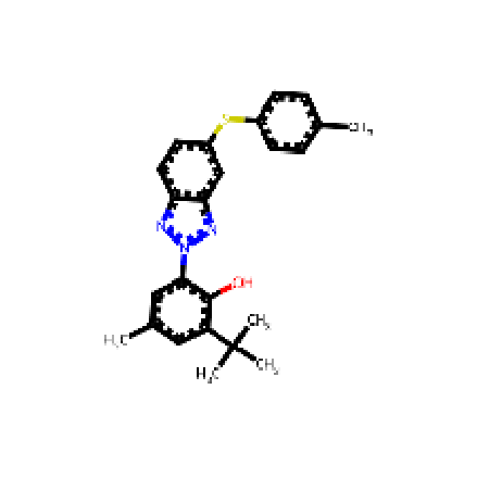 Cc1ccc(Sc2ccc3nn(-c4cc(C)cc(C(C)(C)C)c4O)nc3c2)cc1